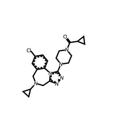 O=C(C1CC1)N1CCN(c2nnc3n2-c2ccc(Cl)cc2CN(C2CC2)C3)CC1